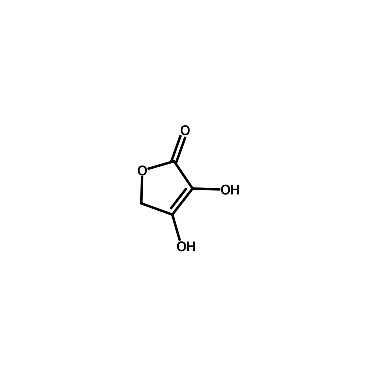 O=C1OCC(O)=C1O